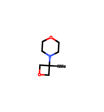 CNC1(N2CCOCC2)COC1